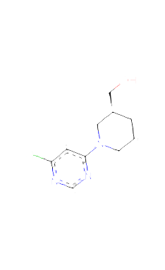 OC[C@H]1CCCN(c2cc(Cl)ncn2)C1